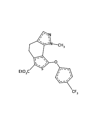 CCOC(=O)c1sc(Oc2ccc(C(F)(F)F)cc2)c2c1CCc1cnn(C)c1-2